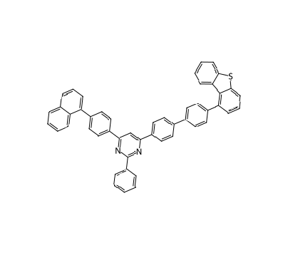 c1ccc(-c2nc(-c3ccc(-c4ccc(-c5cccc6sc7ccccc7c56)cc4)cc3)cc(-c3ccc(-c4cccc5ccccc45)cc3)n2)cc1